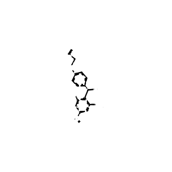 C=CCOc1ccc(C(O)c2c(C)cc([N+](=O)[O-])cc2C)cc1